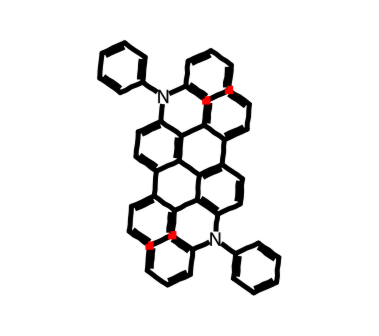 c1ccc(N(c2ccccc2)c2ccc3c4ccccc4c4c(N(c5ccccc5)c5ccccc5)ccc5c6ccccc6c2c3c54)cc1